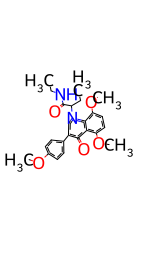 CCNC(=O)C(CC)n1cc(-c2ccc(OC)cc2)c(=O)c2c(OC)ccc(OC)c21